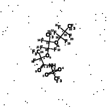 O=C(NS(=O)(=O)C(F)(F)F)C(F)(OC(F)(F)C(F)(OC(F)(F)C(F)(F)C(F)(F)F)C(F)(F)F)C(F)(F)F